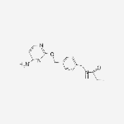 CCC(=O)NCc1ccc(COc2nccc(N)n2)cc1